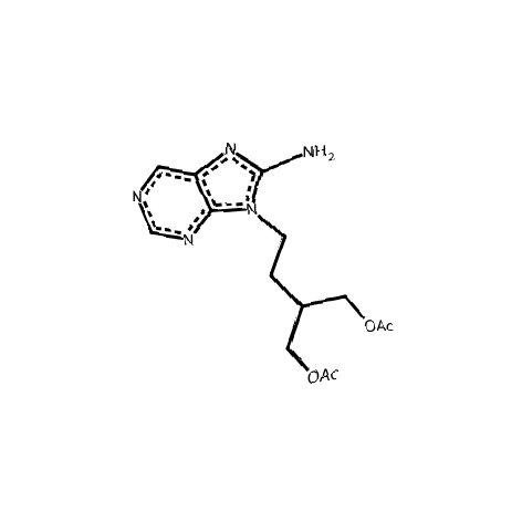 CC(=O)OCC(CCn1c(N)nc2cncnc21)COC(C)=O